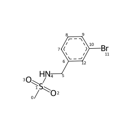 CS(=O)(=O)NCc1cccc(Br)c1